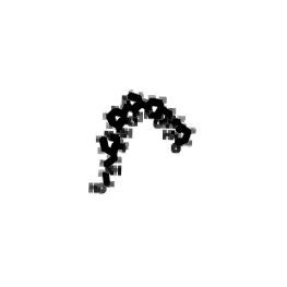 COc1nc(-c2ccnc(-c3cccc(Nc4nccc(CCNCCO)c4F)c3Cl)c2Cl)ccc1CNC[C@H]1CCC(=O)N1